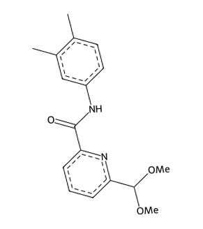 COC(OC)c1cccc(C(=O)Nc2ccc(C)c(C)c2)n1